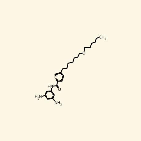 CCCCCCOCCCCCCCc1ccc(C(=O)Nc2cc(N)cc(N)c2)cc1